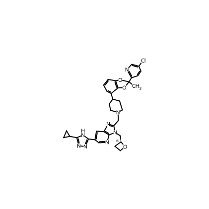 CC1(c2ccc(Cl)cn2)Oc2cccc(C3CCN(Cc4nc5cc(-c6nnc(C7CC7)[nH]6)cnc5n4C[C@@H]4CCO4)CC3)c2O1